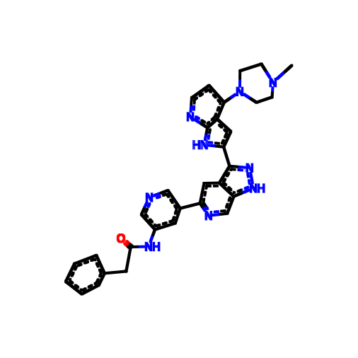 CN1CCN(c2ccnc3[nH]c(-c4n[nH]c5cnc(-c6cncc(NC(=O)Cc7ccccc7)c6)cc45)cc23)CC1